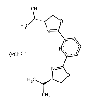 CC(C)[C@@H]1COC(c2cccc(C3=N[C@H](C(C)C)CO3)n2)=N1.[Cl-].[Cl-].[V+2]